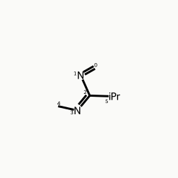 C=N/C(=N\C)C(C)C